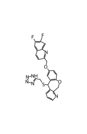 Fc1cc2ccc(COc3ccc4c(c3)C(SCc3nnn[nH]3)c3cccnc3CO4)nc2cc1F